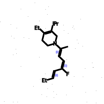 CC/C=C/C(F)=C\C=C(/C)N1CCC(CC)=C(C(C)C)C1